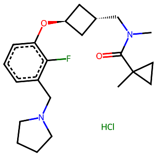 CN(C[C@H]1C[C@H](Oc2cccc(CN3CCCC3)c2F)C1)C(=O)C1(C)CC1.Cl